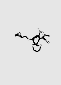 COCCOc1cc([N+](=O)[O-])c(C(=O)OC)c2c1OCCO2